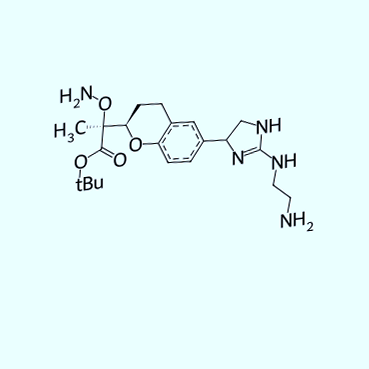 CC(C)(C)OC(=O)[C@@](C)(ON)[C@H]1CCc2cc(C3CNC(NCCN)=N3)ccc2O1